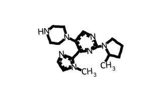 CC1CCCN1c1ncc(N2CCNCC2)c(-c2nccn2C)n1